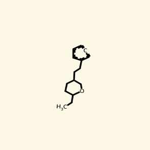 CCC1CCC(CCc2ccccc2)CO1